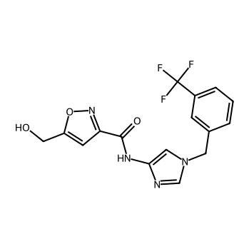 O=C(Nc1cn(Cc2cccc(C(F)(F)F)c2)cn1)c1cc(CO)on1